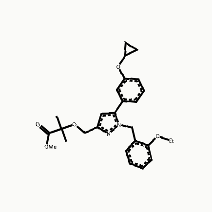 CCOc1ccccc1Cn1nc(COC(C)(C)C(=O)OC)cc1-c1cccc(OC2CC2)c1